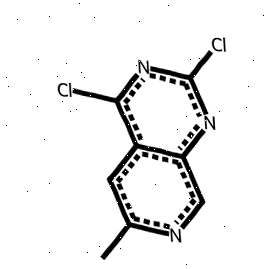 Cc1cc2c(Cl)nc(Cl)nc2cn1